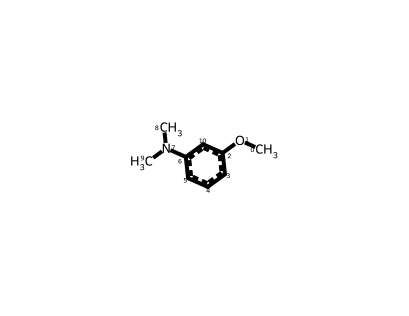 COc1cccc(N(C)C)c1